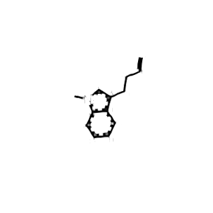 C=CCCc1cn(C)c2ccccc12